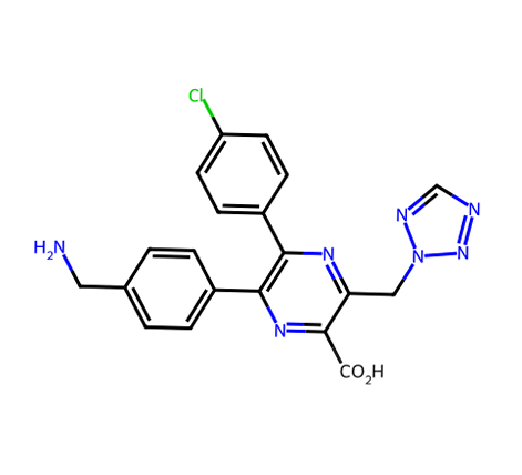 NCc1ccc(-c2nc(C(=O)O)c(Cn3ncnn3)nc2-c2ccc(Cl)cc2)cc1